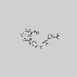 CNC(=O)O[C@]1(C)C[C@H](C(C)CCNC(=O)OC2CCC(C(C)CCC(C)NC3CCN(C(C)=O)C3)CC2)C1